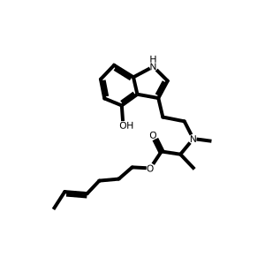 CC=CCCCOC(=O)C(C)N(C)CCc1c[nH]c2cccc(O)c12